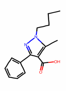 CCCCn1nc(-c2ccccc2)c(C(=O)O)c1C